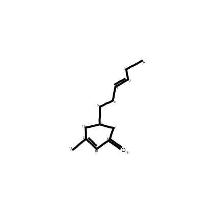 CCC=CCCC1CC(=O)C=C(C)C1